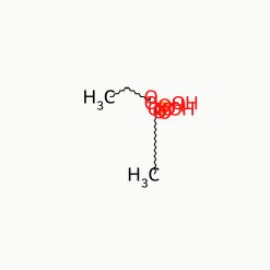 CCCCCC/C=C\CCCCCCCC(=O)OC[C@H](COP(=O)(O)OC[C@@H](O)CO)OC(=O)CCCCCCCCCCCCCCCCCCCCC